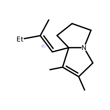 CC/C(C)=C/C12CCCN1CC(C)=C2C